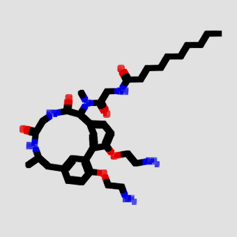 CCCCCCCCCC(=O)NCC(=O)N(C)C1C(=O)NCC(=O)NC(C)Cc2ccc(OCCN)c(c2)-c2cc1ccc2OCCN